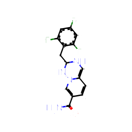 NC(=O)C1=CN2NC(Cc3c(F)cc(F)cc3F)NC=C2C=C1